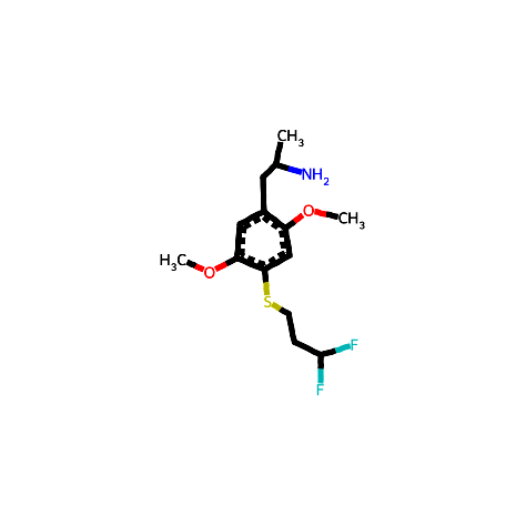 COc1cc(SCCC(F)F)c(OC)cc1CC(C)N